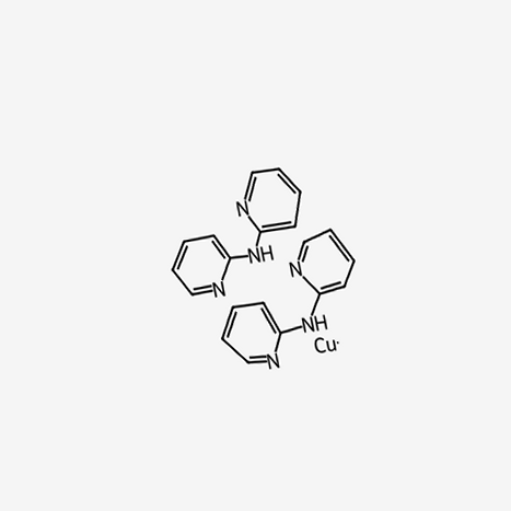 [Cu].c1ccc(Nc2ccccn2)nc1.c1ccc(Nc2ccccn2)nc1